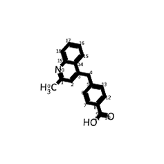 Cc1cc(Cc2ccc(C(=O)O)cc2)c2ccccc2n1